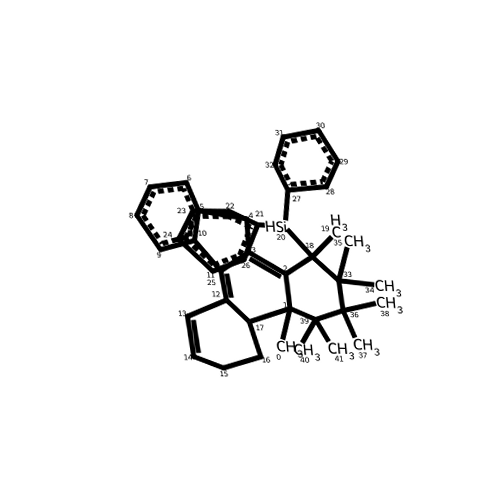 CC12C(=C3Cc4ccccc4C3=C3C=CCCC31)C(C)([SiH](c1ccccc1)c1ccccc1)C(C)(C)C(C)(C)C2(C)C